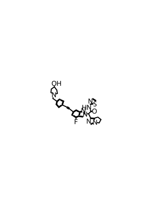 O=C(Nc1nccs1)C(c1ncn2c1CCC2)n1cc2c(F)cc(C#Cc3ccc(CN4CCC(O)CC4)cc3)cc2n1